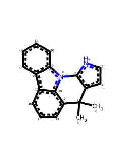 CC1(C)c2cc[nH]c2-n2c3ccccc3c3cccc1c32